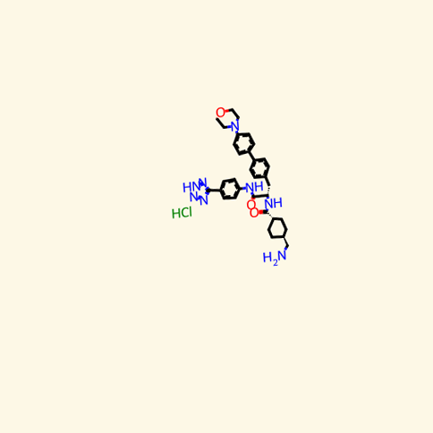 Cl.NC[C@H]1CC[C@H](C(=O)N[C@@H](Cc2ccc(-c3ccc(N4CCOCC4)cc3)cc2)C(=O)Nc2ccc(-c3nn[nH]n3)cc2)CC1